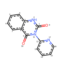 O=c1[nH]c2ccccc2c(=O)n1-c1ccccn1